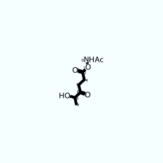 CC(=O)NOC(=O)CCC(=O)C(C)O